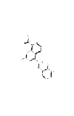 Cc1cc(NCc2cnccc2C(F)(F)F)c2cccc(C(N)=O)c2n1